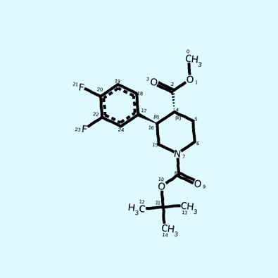 COC(=O)[C@@H]1CCN(C(=O)OC(C)(C)C)C[C@H]1c1ccc(F)c(F)c1